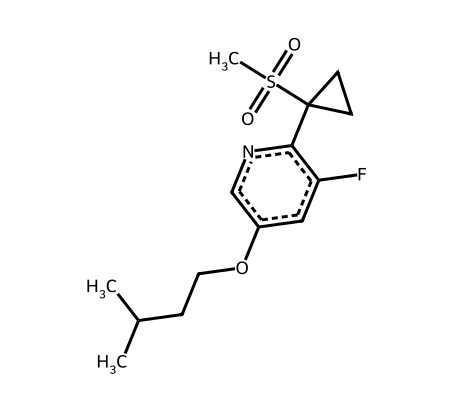 CC(C)CCOc1cnc(C2(S(C)(=O)=O)CC2)c(F)c1